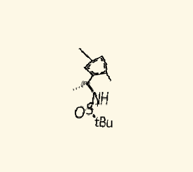 Cc1ccc(C)c([C@@H](C)N[S+]([O-])C(C)(C)C)c1